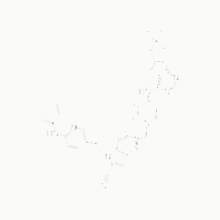 C=CC(=C)Nc1ccc(C(C)Cn2c(C#N)cc3c(C)c(CN4CCC(Nc5ncnc6sc(CC(F)(F)F)cc56)CC4)ccc32)cn1